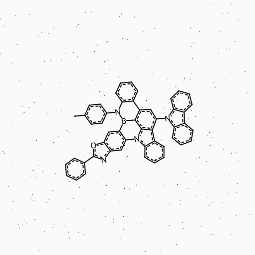 Cc1ccc(N2B3c4cc5oc(-c6ccccc6)nc5cc4-n4c5ccccc5c5c(-n6c7ccccc7c7ccccc76)cc(c3c54)-c3ccccc32)cc1